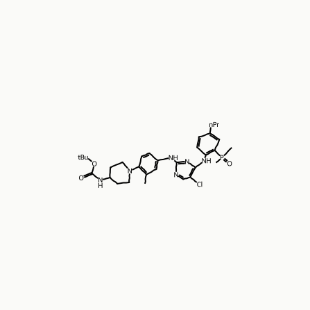 CCCc1ccc(Nc2nc(Nc3ccc(N4CCC(NC(=O)OC(C)(C)C)CC4)c(C)c3)ncc2Cl)c(P(C)(C)=O)c1